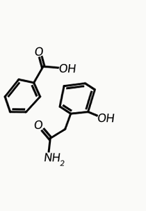 NC(=O)Cc1ccccc1O.O=C(O)c1ccccc1